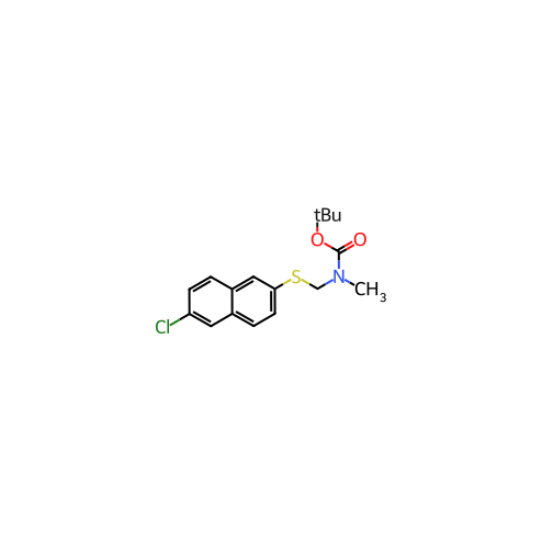 CN(CSc1ccc2cc(Cl)ccc2c1)C(=O)OC(C)(C)C